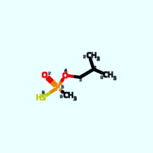 CC(C)COP(C)(=O)S